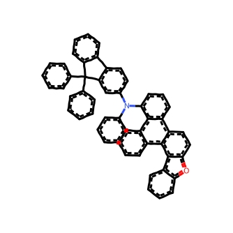 c1ccc(N(c2ccc3c(c2)C(c2ccccc2)(c2ccccc2)c2ccccc2-3)c2cccc3c4ccc5oc6ccccc6c5c4c4ccccc4c23)cc1